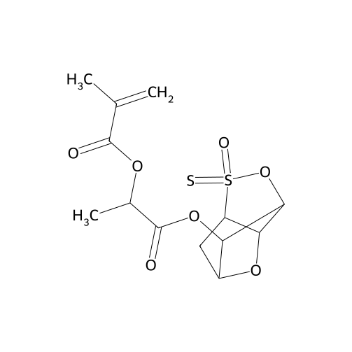 C=C(C)C(=O)OC(C)C(=O)OC1C2CC3C(O2)C1OS3(=O)=S